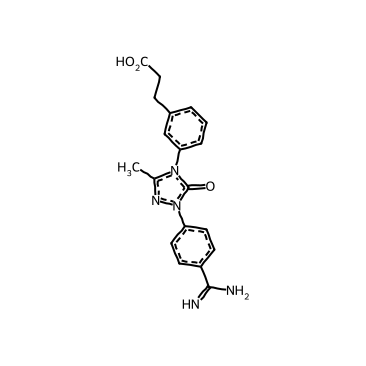 Cc1nn(-c2ccc(C(=N)N)cc2)c(=O)n1-c1cccc(CCC(=O)O)c1